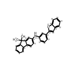 CC1(C)c2ccccc2-c2ccc(Nc3cccc(-c4cc5ccccc5o4)c3)cc21